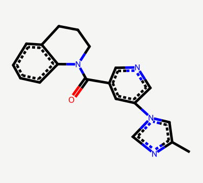 Cc1cn(-c2cncc(C(=O)N3CCCc4ccccc43)c2)cn1